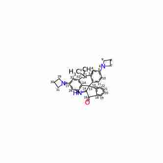 C[Si]1(C)c2cc(N3CCC3)ccc2C2(C(=N)C(=O)c3ccccc32)c2ccc(N3CCC3)cc21